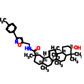 Cc1ccc(-c2cc(CNC(=O)[C@@]3(C)CC[C@]4(C)CC[C@@]5(C)C(=CCC6[C@@]7(C)CC[C@H](O)C(C)(C)C7CC[C@]65C)[C@@H]4C3)on2)cc1